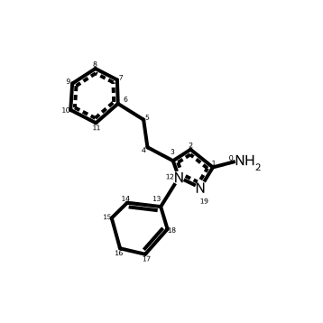 Nc1cc(CCc2ccccc2)n(C2=CCCC=C2)n1